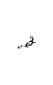 Cc1cc2nc(CN=[N+]=[N-])cn2cc1C=O